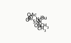 CCC(C)c1nc(SCCS(=O)(=O)COC(C)=O)n(C(=O)N(C)C)n1